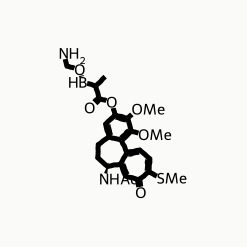 COc1c(OC(=O)C(C)BOCN)cc2c(c1OC)-c1ccc(SC)c(=O)cc1[C@@H](NC(C)=O)CC2